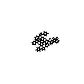 CC1(C)c2ccccc2-c2ccc(-c3ccc(-c4c5ccc(-n6c(-c7ccccc7)ccc6C6C=CC=CC6)cc5c(-c5ccc6c(c5)CCC=C6)c5ccc(-n6c(-c7ccccc7)ccc6-c6ccccc6)cc45)cc3)cc21